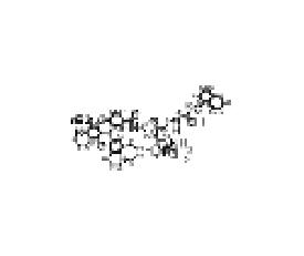 CCCCc1cc2c(c3c1=NCCC3)Oc1c(cc3c4c1CCCN4CCCC3)C=2c1cc(C(=O)NCCN(CCC(C)(N)N)C(=O)CCNCC(O)COc2cccc3ccccc23)ccc1C(=O)O